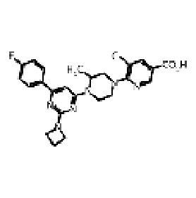 CC1CN(c2ncc(C(=O)O)cc2Cl)CCN1c1cc(-c2ccc(F)cc2)nc(N2CCC2)n1